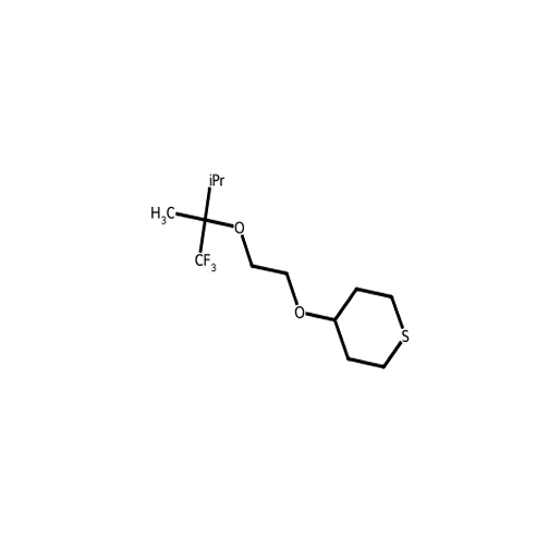 CC(C)C(C)(OCCOC1CCSCC1)C(F)(F)F